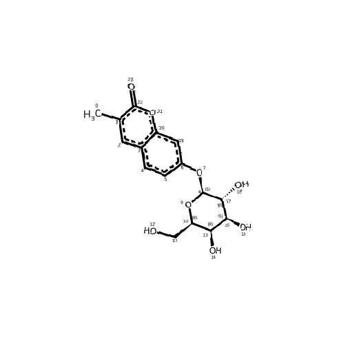 Cc1cc2ccc(O[C@@H]3O[C@H](CO)[C@H](O)[C@H](O)[C@H]3O)cc2oc1=O